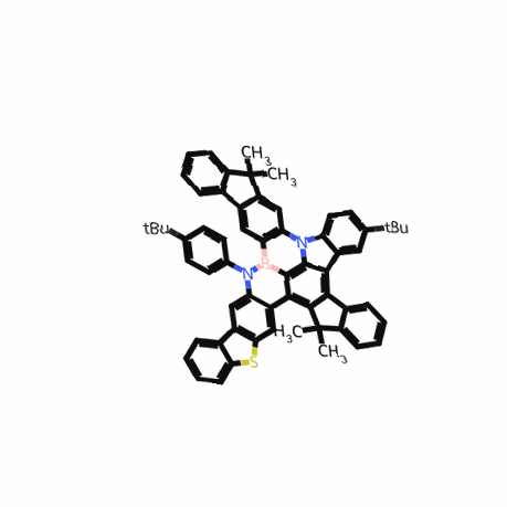 CC(C)(C)c1ccc(N2B3c4cc5c(cc4-n4c6ccc(C(C)(C)C)cc6c6c7c(c(c3c64)-c3cc4sc6ccccc6c4cc32)C(C)(C)c2ccccc2-7)C(C)(C)c2ccccc2-5)cc1